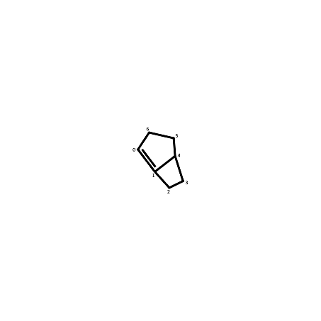 C1=C2CCC2CC1